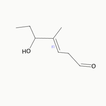 CCC(O)/C(C)=C/CC=O